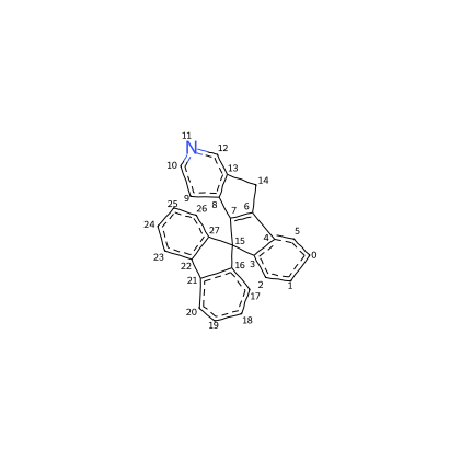 c1ccc2c(c1)C1=C(c3ccncc3C1)C21c2ccccc2-c2ccccc21